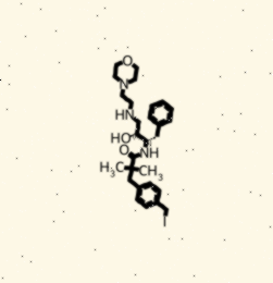 CC(C)(Cc1ccc(CI)cc1)C(=O)N[C@@H](Cc1ccccc1)[C@H](O)CNCCN1CCOCC1